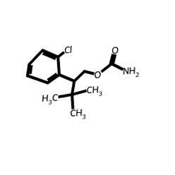 CC(C)(C)C(COC(N)=O)c1ccccc1Cl